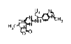 CC(Nc1nccc(N2C(=O)OC[C@@H]2C(C)C)n1)c1ccc2c(c1)ncn2C